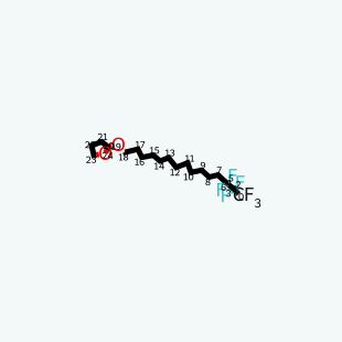 FC(F)(F)C(F)(F)C(F)(F)CCCCCCCCCCCCOC1CCCO1